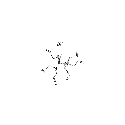 C=CC/N=C(\N(CC=C)CC=C)[N+](CC=C)(CC=C)CC=C.[Br-]